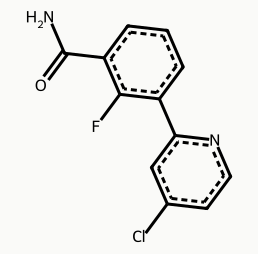 NC(=O)c1cccc(-c2cc(Cl)ccn2)c1F